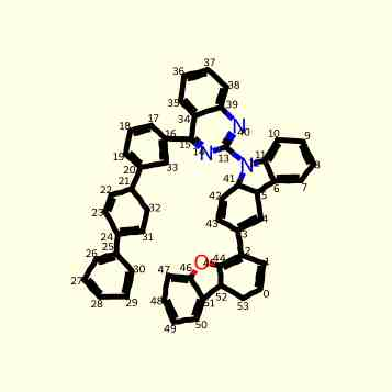 C1=CC(C2=CC3c4ccccc4N(c4nc(-c5cccc(C6C=CC(c7ccccc7)=CC6)c5)c5ccccc5n4)C3C=C2)=C2Oc3ccccc3C2C1